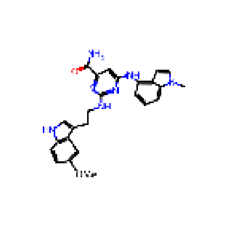 COc1ccc2[nH]cc(CCNc3nc(Nc4cccc5c4ccn5C)cc(C(N)=O)n3)c2c1